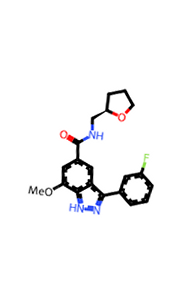 COc1cc(C(=O)NC[C@H]2CCCO2)cc2c(-c3cccc(F)c3)n[nH]c12